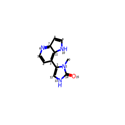 Cn1c(-c2ccnc3cc[nH]c23)c[nH]c1=O